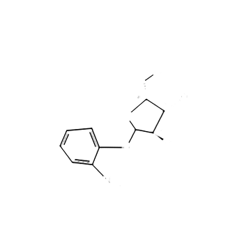 Nc1ccccc1OC1O[C@H](CO)[C@H](O)[C@H]1O